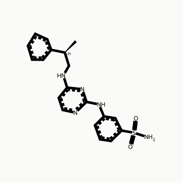 C[C@@H](CNc1ccnc(Nc2cccc(S(N)(=O)=O)c2)n1)c1ccccc1